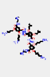 CC(C)CCOc1cc(OCCC(C)C)c(C(=O)NNC(=O)c2cc(C(=O)NCCN(C)C)c(OCCCCCN)cc2OCCCCCN)cc1C(=O)NNC(=O)c1cc(C(=O)NCCN(C)C)c(OCCCCN)cc1OCCCCN